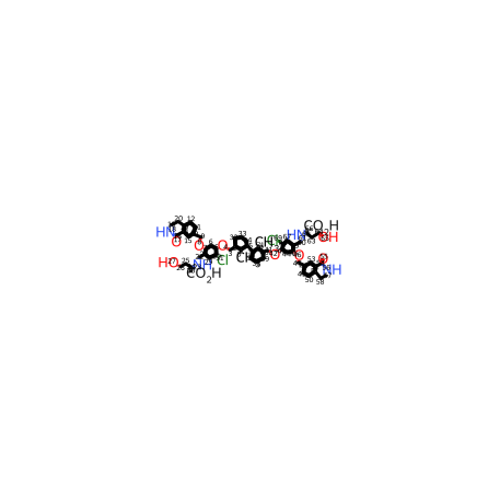 Cc1c(COc2cc(OCc3ccc4c(c3)C(=O)NCC4)c(CNC(CCO)C(=O)O)cc2Cl)cccc1-c1cccc(COc2cc(OCc3ccc4c(c3)C(=O)NCC4)c(CNC(CCO)C(=O)O)cc2Cl)c1C